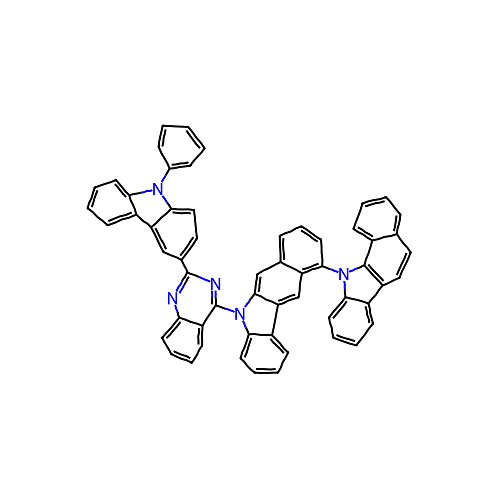 c1ccc(-n2c3ccccc3c3cc(-c4nc(-n5c6ccccc6c6cc7c(-n8c9ccccc9c9ccc%10ccccc%10c98)cccc7cc65)c5ccccc5n4)ccc32)cc1